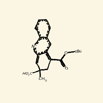 CC(C)(C)OC(=O)C1=c2cc3ccccc3nc2=CC(C)(C(=O)O)C1